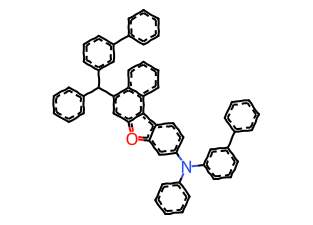 c1ccc(-c2cccc(C(c3ccccc3)c3cc4oc5cc(N(c6ccccc6)c6cccc(-c7ccccc7)c6)ccc5c4c4ccccc34)c2)cc1